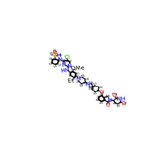 CCc1cc(Nc2ncc(Cl)c(Nc3ccccc3P(C)(C)=O)n2)c(OC)cc1N1CCC(N2CC3(CCC(Oc4cccc5c4CN(C4CCC(=O)NC4=O)C5=O)CC3)C2)CC1